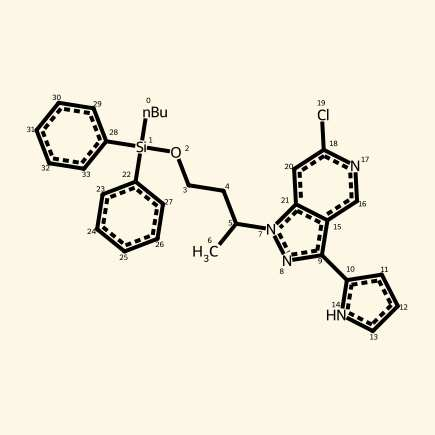 CCCC[Si](OCCC(C)n1nc(-c2ccc[nH]2)c2cnc(Cl)cc21)(c1ccccc1)c1ccccc1